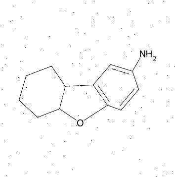 Nc1ccc2c(c1)C1CCCCC1O2